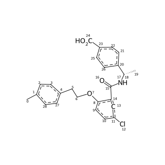 Cc1ccc(CCOc2ccc(Cl)cc2C(=O)N[C@@H](C)c2ccc(C(=O)O)cc2)cc1